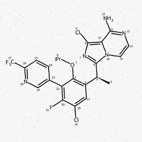 CC(C)Oc1c([C@H](C)c2nc(Cl)c3c(N)nccn23)cc(Cl)c(F)c1-c1ccc(C(F)(F)F)nc1